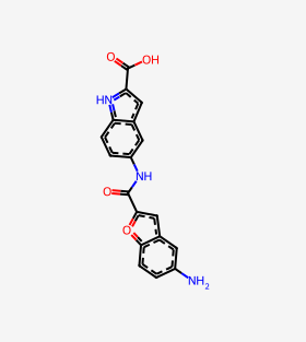 Nc1ccc2oc(C(=O)Nc3ccc4[nH]c(C(=O)O)cc4c3)cc2c1